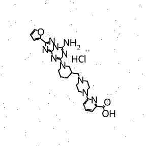 Cl.Nc1nc(N2CCCC(CN3CCN(c4cccc(C(=O)O)n4)CC3)C2)nc2nc(-c3ccco3)nn12